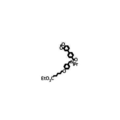 CCOC(=O)CCCCCOc1ccc(CN(C(=O)c2ccc(-c3ccc4c(c3)OCO4)cc2)C(C)C)cc1